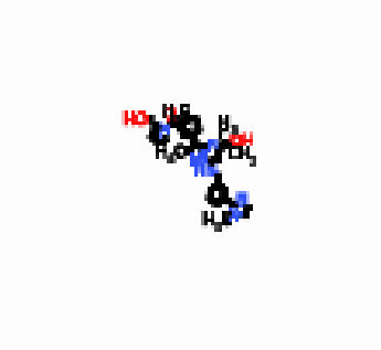 Cc1ccc(-c2c(C)nn3c(NCc4cccc(-c5nccn5C)c4)cc(C(C)(C)O)nc23)cc1C(=O)N1CCC[C@@H]1CO